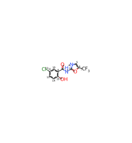 O=C(Nc1ncc(C(F)(F)F)o1)c1cc(Cl)ccc1O